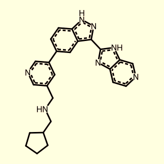 c1cc2nc(-c3n[nH]c4ccc(-c5cncc(CNCC6CCCC6)c5)cc34)[nH]c2cn1